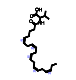 CC/C=C\C/C=C\C/C=C\C/C=C\C/C=C\CCCC(=O)NC(C(=O)O)C(C)C